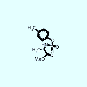 COC(=O)[C@H](C)NP(=O)(Cl)Oc1ccc(C)cc1